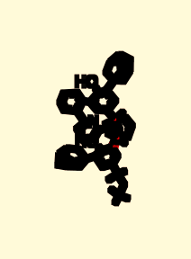 CC(C)(C)CC(C)(C)c1cc(-c2ccccc2-c2cccc(-c3ccccc3-c3cc(C(C)(C)CC(C)(C)C)cc(C45CC6CC(C4)C(C6)C5)c3O)n2)c(O)c(C23CC4CC(C2)C(C4)C3)c1